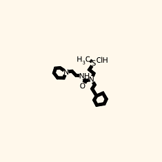 CSCCN(CCC1CCCCC1)C(=O)NCCN1CCCCC1.Cl